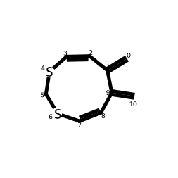 C=C1/C=C\SCS/C=C\C1=C